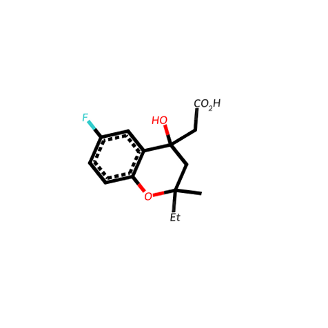 CCC1(C)CC(O)(CC(=O)O)c2cc(F)ccc2O1